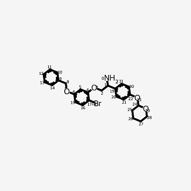 NC(COc1cc(OCc2ccccc2)ccc1Br)c1ccc(OC2CCCCO2)cc1